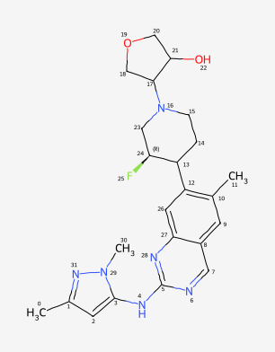 Cc1cc(Nc2ncc3cc(C)c(C4CCN(C5COCC5O)C[C@@H]4F)cc3n2)n(C)n1